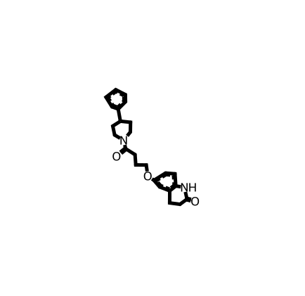 O=C1CCc2cc(OCCCC(=O)N3CCC(c4ccccc4)CC3)ccc2N1